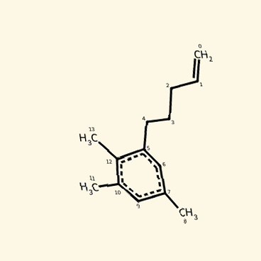 C=CCCCc1cc(C)cc(C)c1C